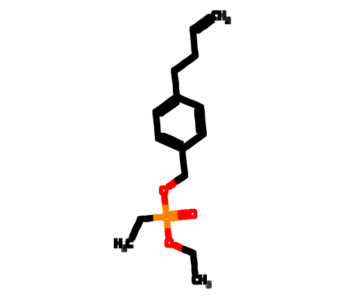 C=CCCc1ccc(COP(=O)(CC)OCC)cc1